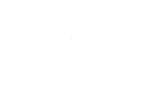 CC(C)n1c(CC(C)(C)NC(=O)O)nc2c(F)cc(Br)cc21